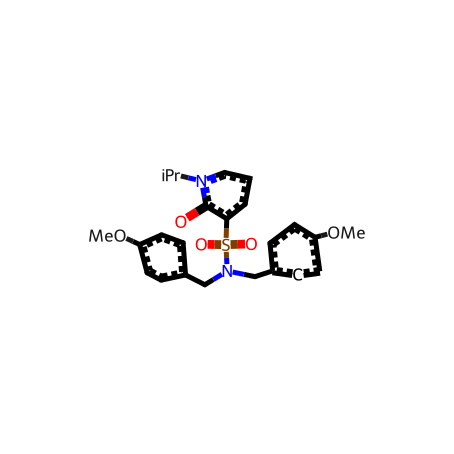 COc1ccc(CN(Cc2ccc(OC)cc2)S(=O)(=O)c2cccn(C(C)C)c2=O)cc1